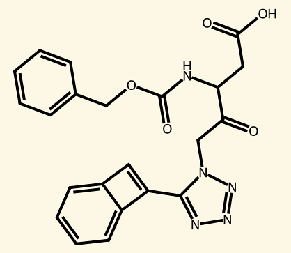 O=C(O)CC(NC(=O)OCc1ccccc1)C(=O)Cn1nnnc1C1=Cc2ccccc21